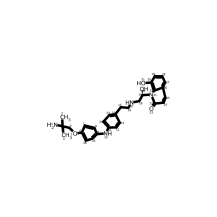 CC(C)(N)COc1ccc(Nc2ccc(CCNC[C@H](O)n3c(=O)ccc4cccc(O)c43)cc2)cc1